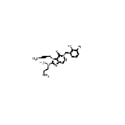 CC#CCn1c(N(C)CCN)nc2cnn(Cc3cccc(Cl)c3C#N)c(=O)c21